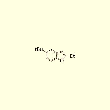 CCc1cc2cc(C(C)(C)C)ccc2o1